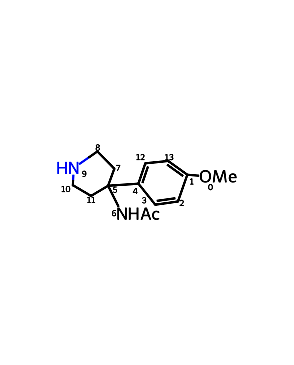 COc1ccc(C2(NC(C)=O)CCNCC2)cc1